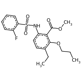 CCCOc1c(CC)ccc(NS(=O)(=O)c2ccccc2F)c1C(=O)OC